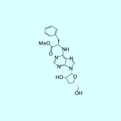 COC(=O)[C@@H](Cc1ccccc1)Nc1ncnc2c1ncn2[C@@H]1O[C@H](CO)CC1O